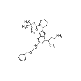 CC(CCN)c1cc(N2CC(OCc3ccccc3)C2)nc2cc([C@@H]3CCCCN3C(=O)OC(C)(C)C)nn12